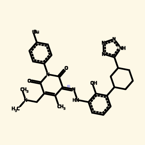 CC1=C(CN(C)C)C(=O)N(c2ccc(C(C)(C)C)cc2)C(=O)/C1=N/Nc1cccc(C2CCCC(c3nnn[nH]3)C2)c1O